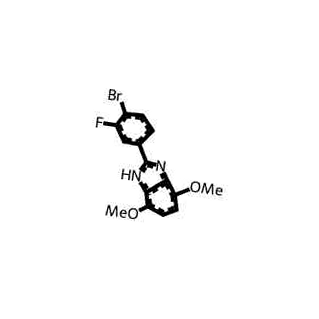 COc1ccc(OC)c2[nH]c(-c3ccc(Br)c(F)c3)nc12